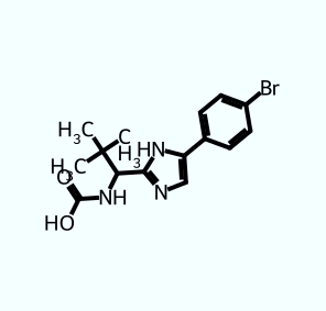 CC(C)(C)C(NC(=O)O)c1ncc(-c2ccc(Br)cc2)[nH]1